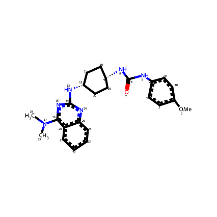 COc1ccc(NC(=O)N[C@H]2CC[C@@H](Nc3nc(N(C)C)c4ccccc4n3)CC2)cc1